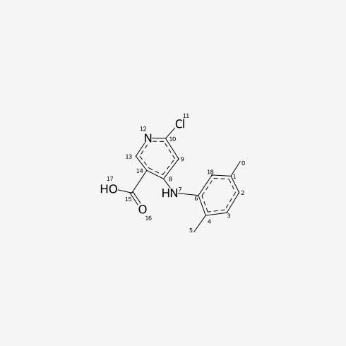 Cc1ccc(C)c(Nc2cc(Cl)ncc2C(=O)O)c1